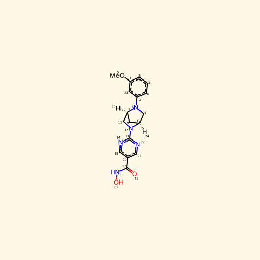 COc1cccc(N2C[C@@H]3C[C@H]2CN3c2ncc(C(=O)NO)cn2)c1